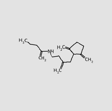 C=C(CCNC(=C)CCC)CC1C(=C)CCC1=C